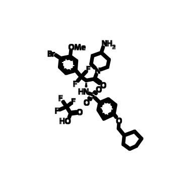 COc1cc(C(F)(F)[C@@H](NS(=O)(=O)c2ccc(OCC3CCCCC3)cc2)C(=O)N2CCC(N)CC2)ccc1Br.O=C(O)C(F)(F)F